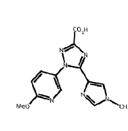 COc1ccc(-n2nc(C(=O)O)nc2-c2cn(C)cn2)cn1